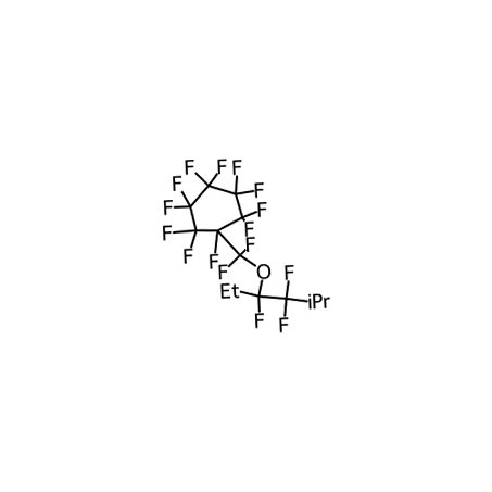 CCC(F)(OC(F)(F)C1(F)C(F)(F)C(F)(F)C(F)(F)C(F)(F)C1(F)F)C(F)(F)C(C)C